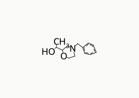 CC(O)C1CN(Cc2ccccc2)CCO1